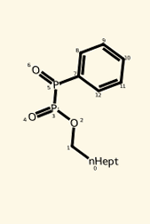 CCCCCCCCO[P](=O)[P](=O)c1ccccc1